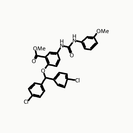 COC(=O)c1cc(NC(=O)Nc2cccc(OC)c2)ccc1OC(c1ccc(Cl)cc1)c1ccc(Cl)cc1